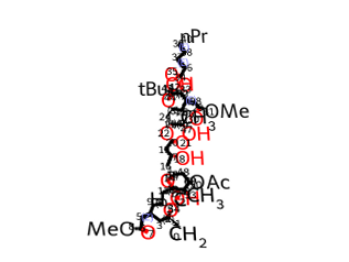 C=C[C@H]1C/C(=C\C(=O)OC)C[C@@H](C[C@]2(O)O[C@H](CC(O)CC(=O)O[C@H](C[C@@H]3C/C(=C\C(=O)OC)[C@H](OC(=O)/C=C/C=C/CCC)[C@](O)(C(C)(C)C)O3)[C@@H](C)O)C[C@H](OC(C)=O)C2(C)C)O1